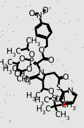 CC(C)OP(OC(C)C)(OC(C)C)=C(C(=O)OCc1ccc([N+](=O)[O-])cc1)N1C(=O)C(C(C)O[Si](C)(C)C(C)(C)C)C1CC(=O)Sc1ccccn1